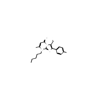 CCCCCn1c(C)cc(=O)n2c(CO)c(-c3ccc(Cl)cc3)nc12